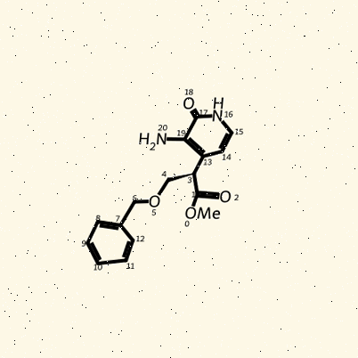 COC(=O)[C@@H](COCc1ccccc1)c1cc[nH]c(=O)c1N